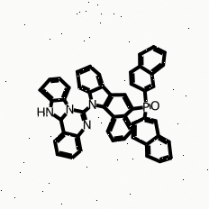 O=P(c1ccc2ccccc2c1)(c1ccc2ccccc2c1)c1cc2c3ccccc3n(C3=Nc4ccccc4C4Nc5ccccc5N34)c2c2ccccc12